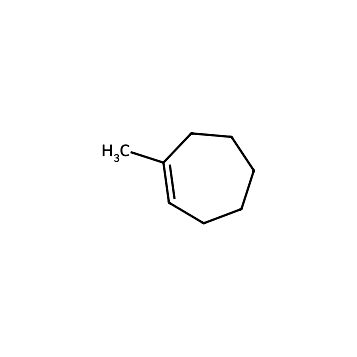 CC1=CCCCCC1